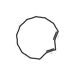 [CH]1CCCC/C=C/C=C/CCCCC1